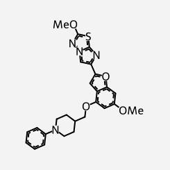 COc1cc(OCC2CCN(c3ccccc3)CC2)c2cc(-c3cn4nc(OC)sc4n3)oc2c1